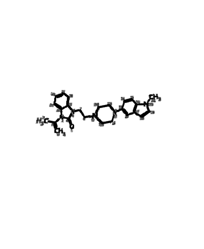 C=C(C)n1c(=O)n(CCN2CCN(c3ccc4c(ccn4C)c3)CC2)c2ccccc21